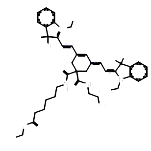 CCCNC(=O)C1(C(=O)NCCCCCC(=O)OCC)CC(/C=C/C2=[N+](CC)c3ccccc3C2(C)C)=CC(=C/C=C2/N(CC)c3ccccc3C2(C)C)/C1